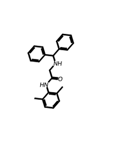 Cc1cccc(C)c1NC(=O)CNC(c1ccccc1)c1ccccc1